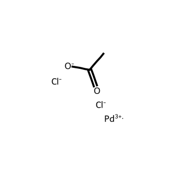 CC(=O)[O-].[Cl-].[Cl-].[Pd+3]